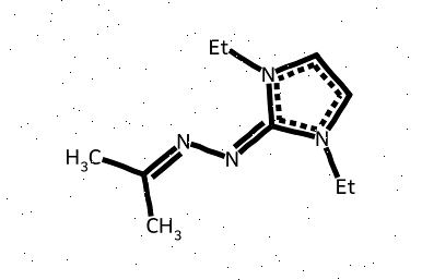 CCn1ccn(CC)c1=NN=C(C)C